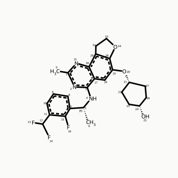 Cc1nc(N[C@H](C)c2cccc(C(F)F)c2F)c2cc(O[C@H]3CC[C@@H](O)CC3)c3c(c2n1)CCO3